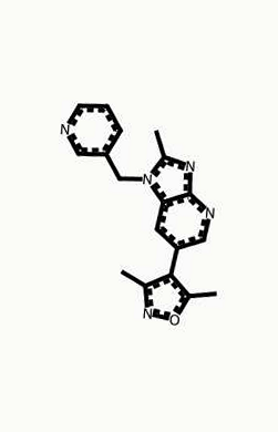 Cc1noc(C)c1-c1cnc2nc(C)n(Cc3cccnc3)c2c1